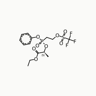 CCOC(=O)[C@H](C)OP(=O)(CCOS(=O)(=O)C(F)(F)F)Oc1ccccc1